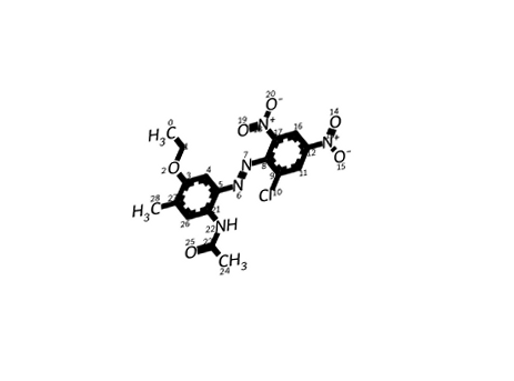 CCOc1cc(N=Nc2c(Cl)cc([N+](=O)[O-])cc2[N+](=O)[O-])c(NC(C)=O)cc1C